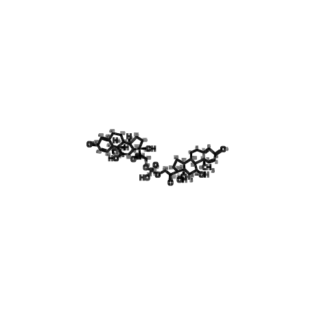 C[C@]12C=CC(=O)C=C1CCC1C2C(O)C[C@@]2(C)C1CC[C@]2(O)C(=O)COP(=O)(O)OCC(=O)[C@@]1(O)CC[C@H]2[C@@H]3CCC4=CC(=O)C=C[C@]4(C)[C@H]3C(O)C[C@@]21C